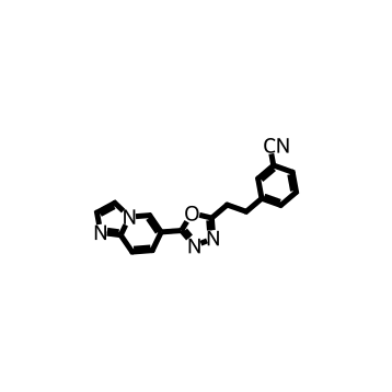 N#Cc1cccc(CCc2nnc(-c3ccc4nccn4c3)o2)c1